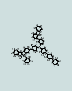 c1ccc(-c2ccc(-c3ccc(N(c4ccc(-c5ccc6c7c8ccccc8oc7n(-c7ccccc7)c6c5)cc4)c4cccc(-c5cccc6c5sc5ccccc56)c4)cc3)cc2)cc1